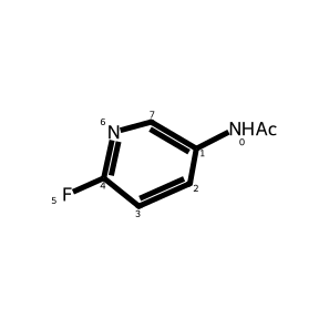 CC(=O)Nc1ccc(F)nc1